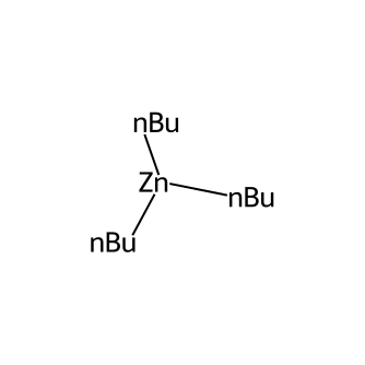 CCC[CH2][Zn]([CH2]CCC)[CH2]CCC